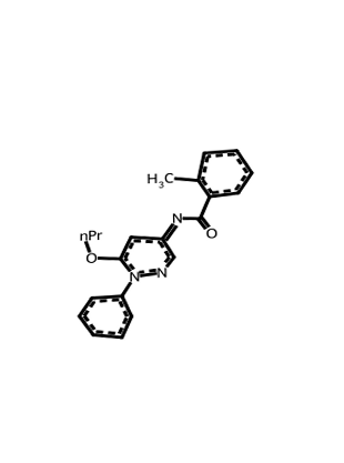 CCCOc1cc(=NC(=O)c2ccccc2C)cnn1-c1ccccc1